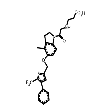 Cc1c(OCc2cc(-c3ccccc3)c(C(F)(F)F)s2)ccc2c1CCN2C(=O)CNCCC(=O)O